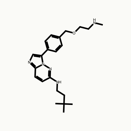 CNCCOCc1ccc(-c2cnc3ccc(NCCC(C)(C)C)nn23)cc1